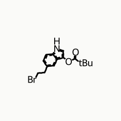 CC(C)(C)C(=O)Oc1c[nH]c2ccc(CCBr)cc12